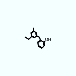 CCc1cc(C)cc(Cc2ccccc2O)c1